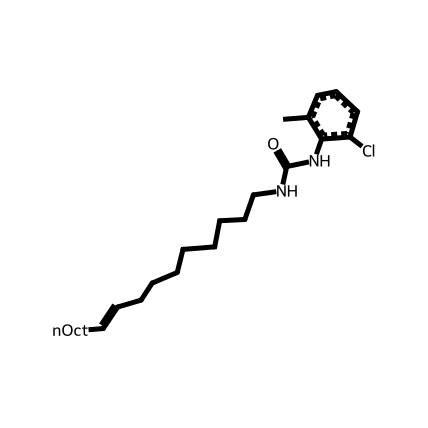 CCCCCCCCC=CCCCCCCCCNC(=O)Nc1c(C)cccc1Cl